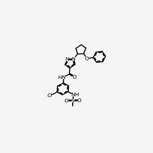 CS(=O)(=O)Nc1cc(Cl)cc(NC(=O)c2cnn(C3CCCC3Oc3ccccc3)c2)c1